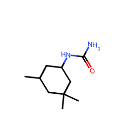 CC1CC(NC(N)=O)CC(C)(C)C1